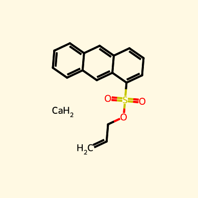 C=CCOS(=O)(=O)c1cccc2cc3ccccc3cc12.[CaH2]